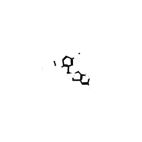 C[C@H](Oc1ccc(S(C)(=O)=O)cc1C(=O)N1Cc2cc(C(F)(F)F)cnc2C1)C(F)(F)F